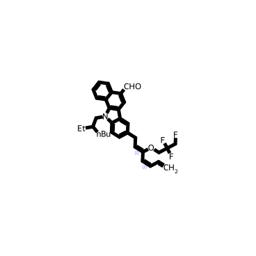 C=C/C=C\C(=C\Cc1ccc2c(c1)c1cc(C=O)c3ccccc3c1n2CC(CC)CCCC)OCC(F)(F)CF